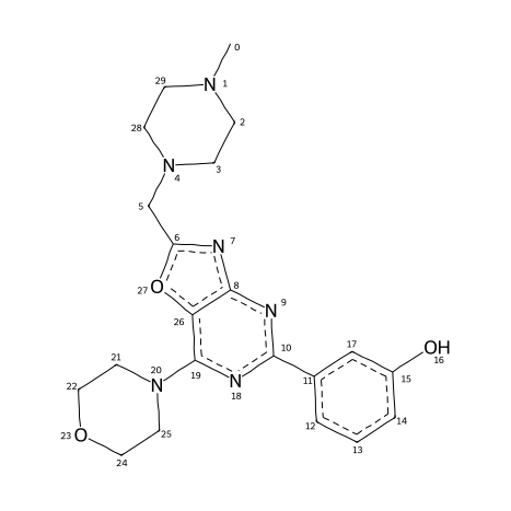 CN1CCN(Cc2nc3nc(-c4cccc(O)c4)nc(N4CCOCC4)c3o2)CC1